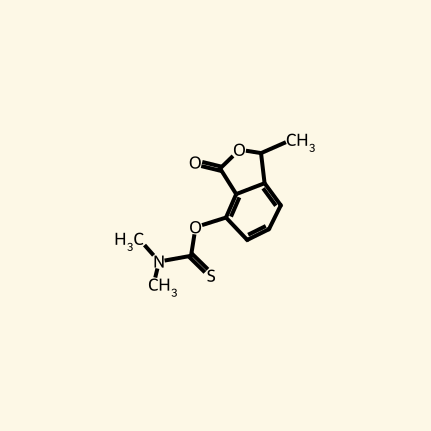 CC1OC(=O)c2c(OC(=S)N(C)C)cccc21